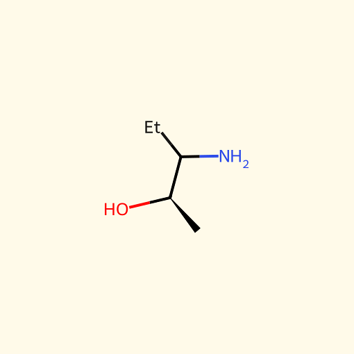 CCC(N)[C@@H](C)O